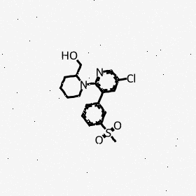 CS(=O)(=O)c1cccc(-c2cc(Cl)cnc2N2CCCCC2CO)c1